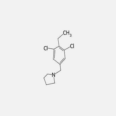 CCc1c(Cl)cc(CN2CCCC2)cc1Cl